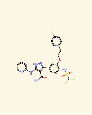 NC(=O)c1c(-c2ccc(NS(=O)(=O)C(F)F)c(OCCc3ccc(F)cc3)c2)n[nH]c1Nc1ccccn1